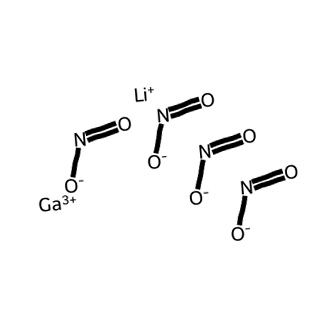 O=N[O-].O=N[O-].O=N[O-].O=N[O-].[Ga+3].[Li+]